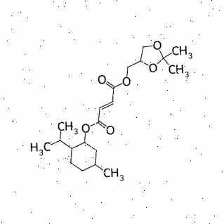 CC1CCC(C(C)C)C(OC(=O)/C=C/C(=O)OCC2COC(C)(C)O2)C1